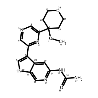 COC1(c2cncc(-c3c[nH]c4cnc(NC(N)=O)cc34)n2)CCOCC1